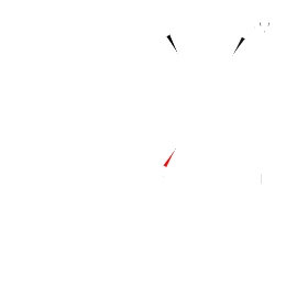 CO[C@H]1OC(C)[C@@H](OCc2ccccc2)C[C@H]1C